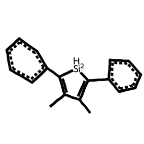 CC1=C(c2ccccc2)[SiH2]C(c2ccccc2)=C1C